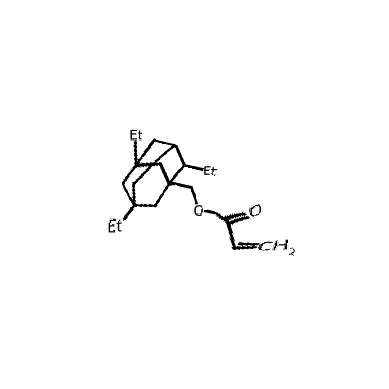 C=CC(=O)OCC12CC3(CC)CC(CC(CC)(C3)C1)C2CC